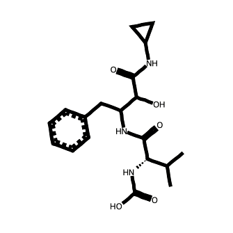 CC(C)[C@H](NC(=O)O)C(=O)NC(Cc1ccccc1)C(O)C(=O)NC1CC1